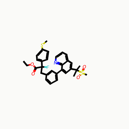 CCOC(=O)C(F)(Cc1cccc(-c2cc(C(C)(C)S(C)(=O)=O)cc3cccnc23)c1)c1ccc(SC)cc1